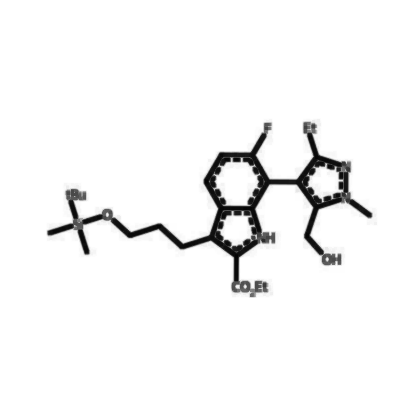 CCOC(=O)c1[nH]c2c(-c3c(CC)nn(C)c3CO)c(F)ccc2c1CCCO[Si](C)(C)C(C)(C)C